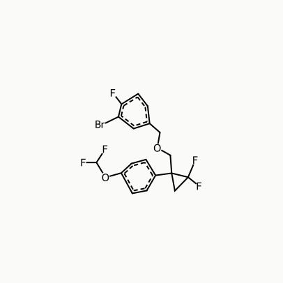 Fc1ccc(COCC2(c3ccc(OC(F)F)cc3)CC2(F)F)cc1Br